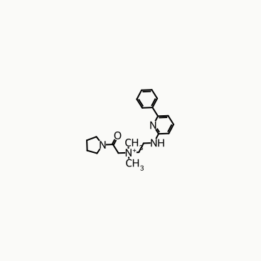 C[N+](C)(CCNc1cccc(-c2ccccc2)n1)CC(=O)N1CCCC1